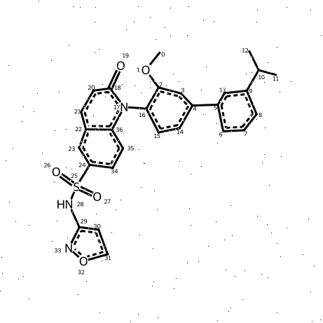 COc1cc(-c2cccc(C(C)C)c2)ccc1-n1c(=O)ccc2cc(S(=O)(=O)Nc3ccon3)ccc21